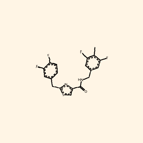 Cc1c(F)cc(CNC(=O)c2csc(Cc3ccc(F)c(F)c3)n2)cc1F